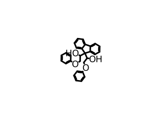 OC(COc1ccccc1)C1(C(O)COc2ccccc2)c2ccccc2-c2ccccc21